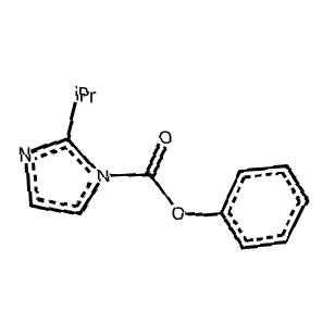 CC(C)c1nccn1C(=O)Oc1ccccc1